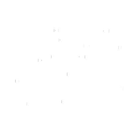 CC1=C(C)C(C)[C]([Ti]([O]c2cc(Cl)cc(C(C)(C)C)c2)=[C](C)C)=C1C.Cl.Cl